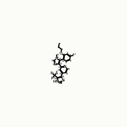 CCCOc1cc(F)ccc1-c1c(-c2cc(-c3nn[nH]c3C(F)(F)F)ccn2)ncn1C